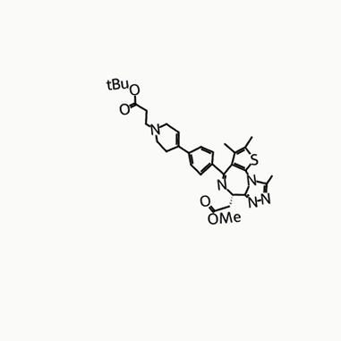 COC(=O)C[C@@H]1N=C(c2ccc(C3=CCN(CCC(=O)OC(C)(C)C)CC3)cc2)c2c(sc(C)c2C)-n2c(C)nnc21